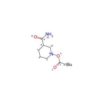 CC(C)(C)C(=O)ON1CCCC(C(N)=O)C1